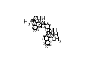 CC(NC(=O)N[C@H]1CC[C@@H](Nc2cc(N(C)C)c3ccccc3n2)CC1)c1cccc2ccccc12